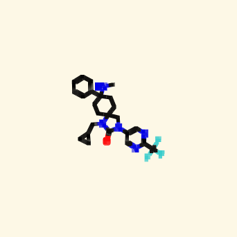 CNC1(c2ccccc2)CCC2(CC1)CN(c1cnc(C(F)(F)F)nc1)C(=O)N2CC1CC1